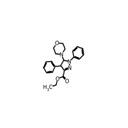 CCOC(=O)C1=NN(c2ccccc2)C(N2CCOCC2)C1c1ccccc1